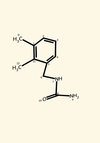 Cc1cccc(CNC(N)=O)c1C